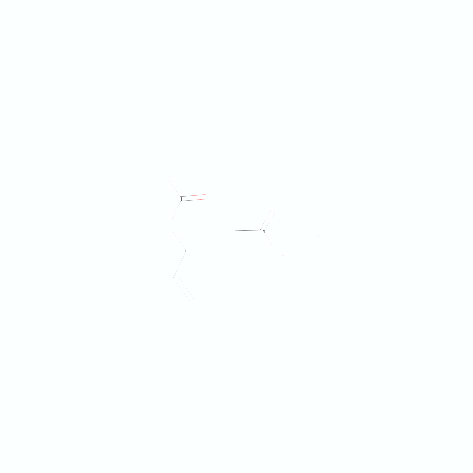 C=CCOC(=O)O.O=[C](O)[Cd].[BaH2]